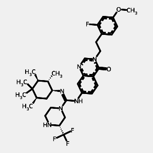 COc1ccc(CCn2cnc3cc(NC(=N[C@H]4C[C@@H](C)C(C)(C)[C@@H](C)[C@@H]4C)N4CCN[C@@H](C(F)(F)F)C4)ccc3c2=O)c(F)c1